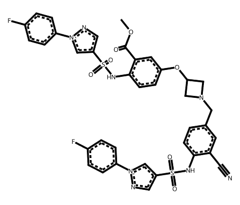 COC(=O)c1cc(OC2CN(Cc3ccc(NS(=O)(=O)c4cnn(-c5ccc(F)cc5)c4)c(C#N)c3)C2)ccc1NS(=O)(=O)c1cnn(-c2ccc(F)cc2)c1